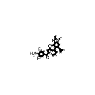 Cc1nc2c(Cl)c(-c3cccn4c(C(=O)c5cc(F)c(N)c(F)c5)ccc34)c(C3CC3)cc2n1C